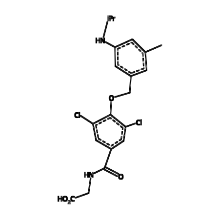 Cc1cc(COc2c(Cl)cc(C(=O)NCC(=O)O)cc2Cl)cc(NC(C)C)c1